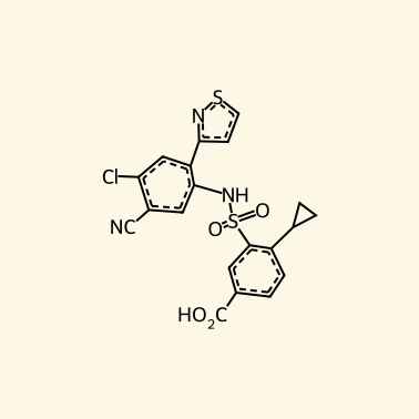 N#Cc1cc(NS(=O)(=O)c2cc(C(=O)O)ccc2C2CC2)c(-c2ccsn2)cc1Cl